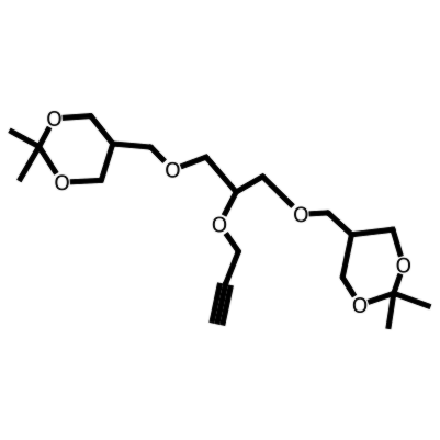 C#CCOC(COCC1COC(C)(C)OC1)COCC1COC(C)(C)OC1